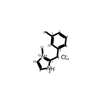 Cc1cccc(Cc2[nH]cc[n+]2C)c1.[Cl-]